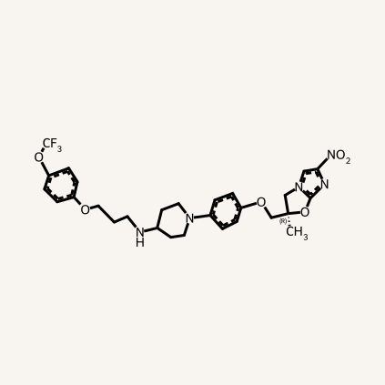 C[C@]1(COc2ccc(N3CCC(NCCCOc4ccc(OC(F)(F)F)cc4)CC3)cc2)Cn2cc([N+](=O)[O-])nc2O1